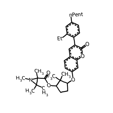 CCCCCc1ccc(-c2cc3ccc(OC4CCC(OC(=O)C5(C)N(C)C5(C)C)C4(C)C(F)(F)F)cc3oc2=O)c(CC)c1